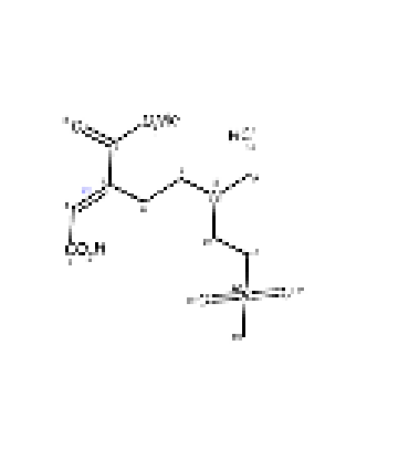 COC(=O)/C(=C/C(=O)O)CCN(C)CCS(C)(=O)=O.Cl